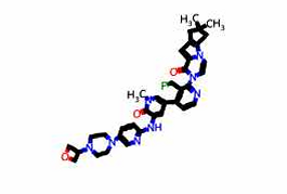 Cn1cc(-c2ccnc(-n3ccn4c5c(cc4c3=O)CC(C)(C)C5)c2CF)cc(Nc2ccc(N3CCN(C4COC4)CC3)cn2)c1=O